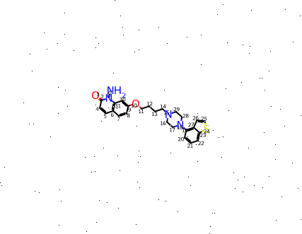 Nn1c(=O)ccc2ccc(OCCCCN3CCN(c4cccc5sccc45)CC3)cc21